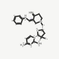 N=C1CCN(C[C@@H]2CC(F)(F)[C@H](N3C=CC(N)=NC3O)O2)C/C1=C/Nc1ccccc1